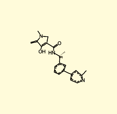 C=C1C(O)=C(C(=O)N[C@H](C)c2cccc(-c3ccnc(C)c3)c2)CN1C